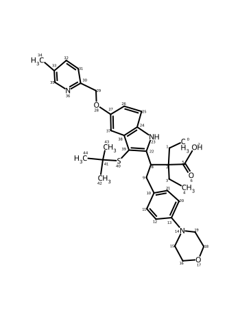 CCC(CC)(C(=O)O)C(Cc1ccc(N2CCOCC2)cc1)c1[nH]c2ccc(OCc3ccc(C)cn3)cc2c1SC(C)(C)C